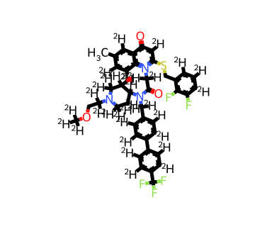 [2H]c1c([2H])c(F)c(F)c(CSc2c([2H])c(=O)c3c([2H])c(C)c([2H])c([2H])c3n2C([2H])([2H])C(=O)N(C([2H])([2H])c2c([2H])c([2H])c(-c3c([2H])c([2H])c(C(F)(F)F)c([2H])c3[2H])c([2H])c2[2H])C2([2H])C([2H])([2H])C([2H])([2H])N(C([2H])([2H])COC([2H])([2H])[2H])C([2H])([2H])C2([2H])[2H])c1[2H]